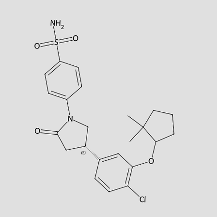 CC1(C)CCCC1Oc1cc([C@@H]2CC(=O)N(c3ccc(S(N)(=O)=O)cc3)C2)ccc1Cl